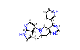 C[C@@H]1Cc2ncnc(C3=CNCCC3)c2CN1c1ccnc2[nH]ccc12